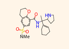 CNS(=O)(=O)c1cc2c(c(C(=O)NC(C)(C3=CCCCC3)C3CCCN3)c1)OCCC2